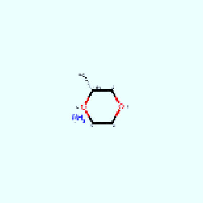 C[C@@H]1COCCO1.N